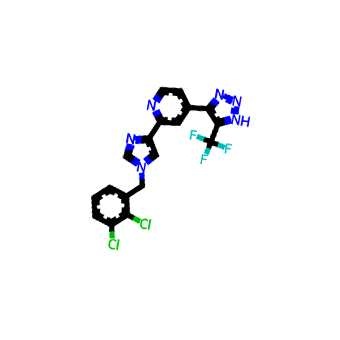 FC(F)(F)c1[nH]nnc1-c1ccnc(-c2cn(Cc3cccc(Cl)c3Cl)cn2)c1